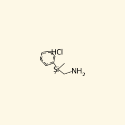 C[Si](C)(CN)c1ccccc1.Cl